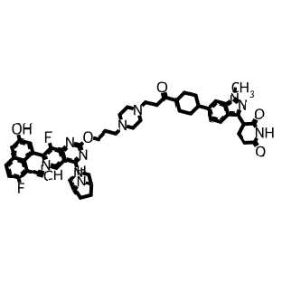 C#Cc1c(F)ccc2cc(O)cc(-c3ncc4c(N5CC6CCC(C5)N6)nc(OCCCN5CCN(CCC(=O)C6CCC(c7ccc8c(C9CCC(=O)NC9=O)nn(C)c8c7)CC6)CC5)nc4c3F)c12